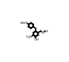 COc1ccc(Cc2cc([N+](=O)[O-])c(O)cc2COC(C)C)cc1